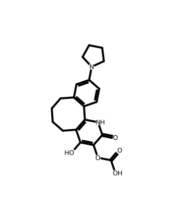 O=C(O)Oc1c(O)c2c([nH]c1=O)-c1ccc(N3CCCC3)cc1CCCC2